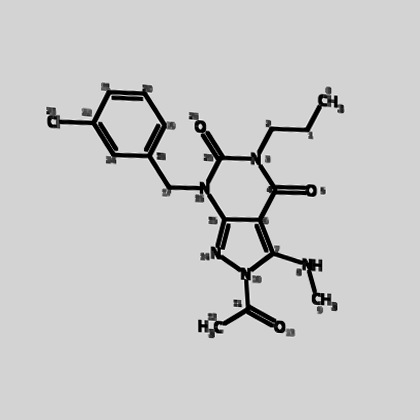 CCCn1c(=O)c2c(NC)n(C(C)=O)nc2n(Cc2cccc(Cl)c2)c1=O